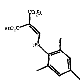 CCOC(=O)C(=CNc1c(C)cc(C)cc1C)C(=O)OCC